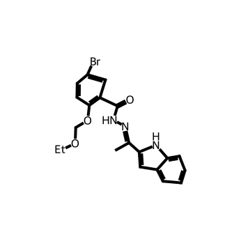 CCOCOc1ccc(Br)cc1C(=O)N/N=C(\C)c1cc2ccccc2[nH]1